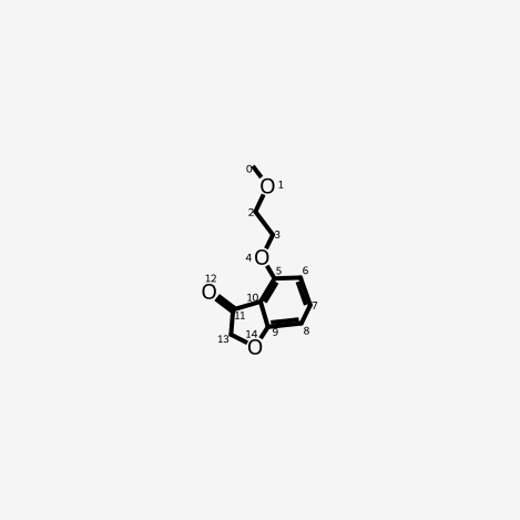 COCCOc1cccc2c1C(=O)CO2